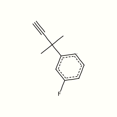 C#CC(C)(C)c1[c]ccc(F)c1